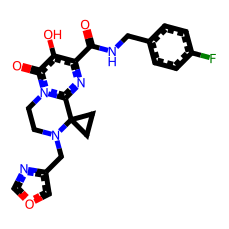 O=C(NCc1ccc(F)cc1)c1nc2n(c(=O)c1O)CCN(Cc1cocn1)C21CC1